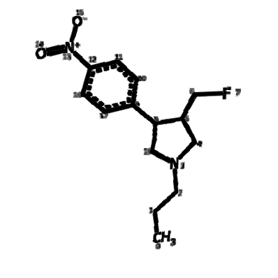 CCCN1CC(CF)C(c2ccc([N+](=O)[O-])cc2)C1